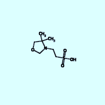 CC1(C)COCN1CCS(=O)(=O)O